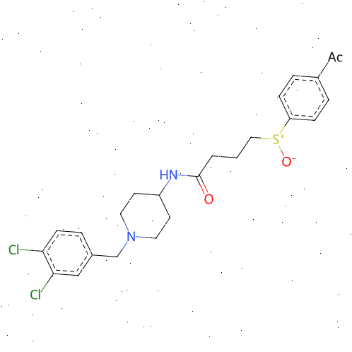 CC(=O)c1ccc([S+]([O-])CCCC(=O)NC2CCN(Cc3ccc(Cl)c(Cl)c3)CC2)cc1